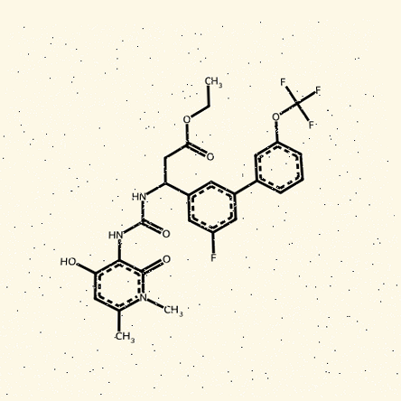 CCOC(=O)CC(NC(=O)Nc1c(O)cc(C)n(C)c1=O)c1cc(F)cc(-c2cccc(OC(F)(F)F)c2)c1